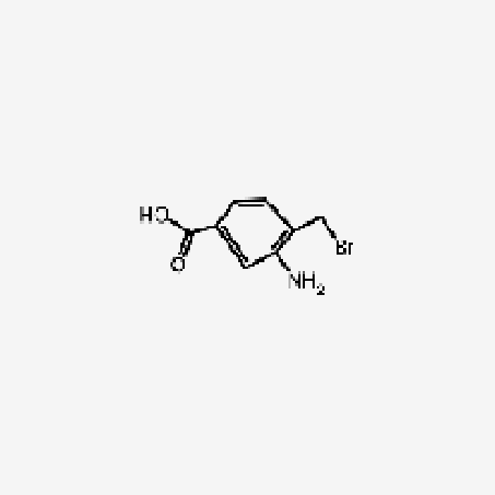 Nc1cc(C(=O)O)ccc1CBr